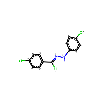 ClC(=NNc1ccc(Cl)cc1)c1ccc(Cl)cc1